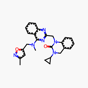 Cc1cc(CN(C)c2nc(CN3C(=O)N(C4CC4)Cc4ccccc43)nc3ccccc23)on1